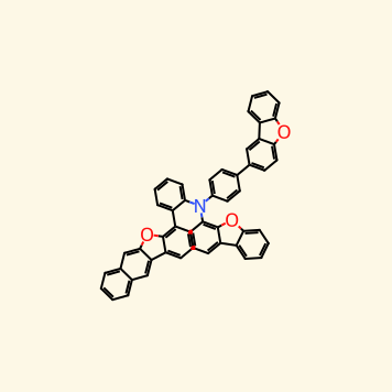 c1ccc(N(c2ccc(-c3ccc4oc5ccccc5c4c3)cc2)c2cccc3c2oc2ccccc23)c(-c2cccc3c2oc2cc4ccccc4cc23)c1